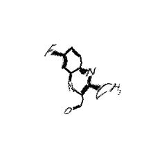 Cc1nc2ccc(F)cc2nc1C=O